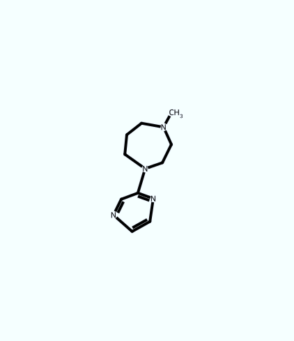 CN1CCCN(c2cnccn2)CC1